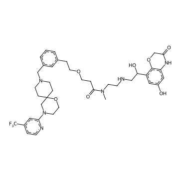 CN(CCNCC(O)c1cc(O)cc2c1OCC(=O)N2)C(=O)CCOCCc1cccc(CN2CCC3(CC2)CN(c2cc(C(F)(F)F)ccn2)CCO3)c1